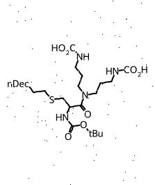 CCCCCCCCCCCCSCC(NC(=O)OC(C)(C)C)C(=O)N(CCCNC(=O)O)CCCNC(=O)O